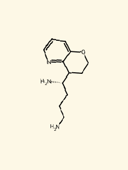 NCCC[C@H](N)C1CCOc2cccnc21